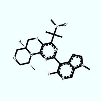 C[C@@H]1COC[C@H]2COc3c(nc(-c4c(F)ncc5c4ccn5C)nc3C(C)(C)[S+](C)[O-])N21